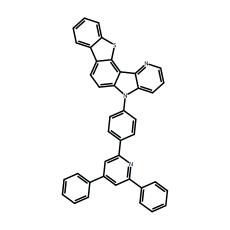 c1ccc(-c2cc(-c3ccccc3)nc(-c3ccc(-n4c5cccnc5c5c6sc7ccccc7c6ccc54)cc3)c2)cc1